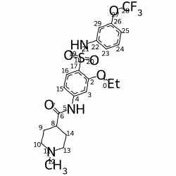 CCOc1cc(NC(=O)C2CCN(C)CC2)ccc1S(=O)(=O)Nc1cccc(OC(F)(F)F)c1